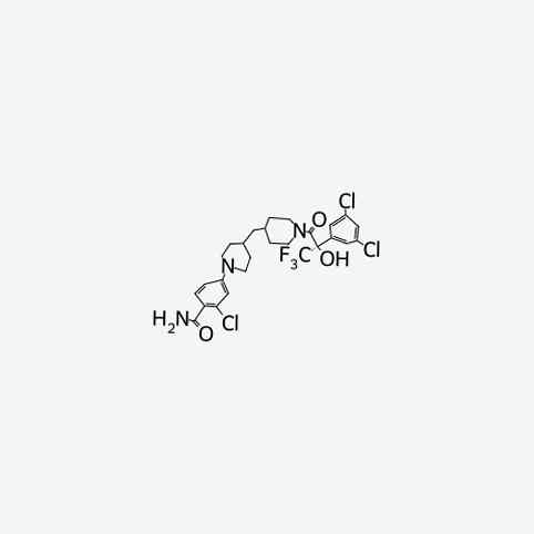 NC(=O)c1ccc(N2CCC(CC3CCN(C(=O)[C@](O)(c4cc(Cl)cc(Cl)c4)C(F)(F)F)CC3)CC2)cc1Cl